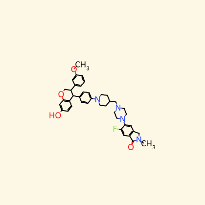 COc1cccc(C2COc3cc(O)ccc3C2c2ccc(N3CCC(CN4CCN(c5cc6c(cc5F)C(=O)N(C)C6)CC4)CC3)cc2)c1